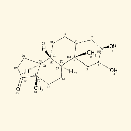 C[C@]12CC(O)[C@H](O)CC1CC[C@@H]1[C@@H]2CC[C@]2(C)C(=O)CC[C@@H]12